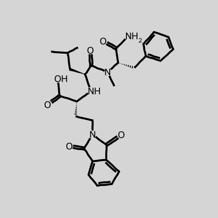 CC(C)C[C@H](N[C@H](CCN1C(=O)c2ccccc2C1=O)C(=O)O)C(=O)N(C)[C@@H](Cc1ccccc1)C(N)=O